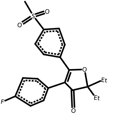 CCC1(CC)OC(c2ccc(S(C)(=O)=O)cc2)=C(c2ccc(F)cc2)C1=O